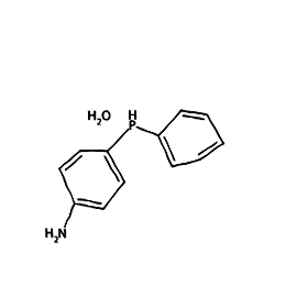 Nc1ccc(Pc2ccccc2)cc1.O